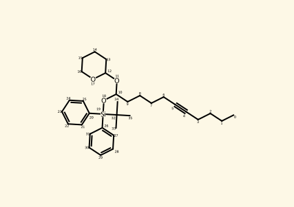 CCCCC#CCCCCC(OC1CCCCO1)O[Si](c1ccccc1)(c1ccccc1)C(C)(C)C